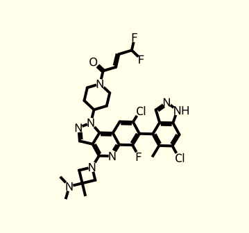 Cc1c(Cl)cc2[nH]ncc2c1-c1c(Cl)cc2c(nc(N3CC(C)(N(C)C)C3)c3cnn(C4CCN(C(=O)/C=C/C(F)F)CC4)c32)c1F